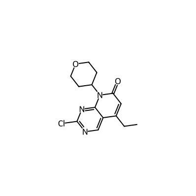 CCc1cc(=O)n(C2CCOCC2)c2nc(Cl)ncc12